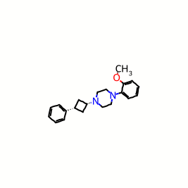 COc1ccccc1N1CCN([C@H]2C[C@@H](c3ccccc3)C2)CC1